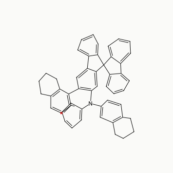 Cc1ccc2c(c1-c1cc3c(cc1N(c1ccccc1)c1ccc4c(c1)CCCC4)C1(c4ccccc4-c4ccccc41)c1ccccc1-3)CCCC2